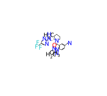 C=NN(/N=C\C)c1ccc(C#N)cc1C(=O)N1CCC[C@@H](C)[C@H]1CNc1ncc(C(F)(F)F)cn1